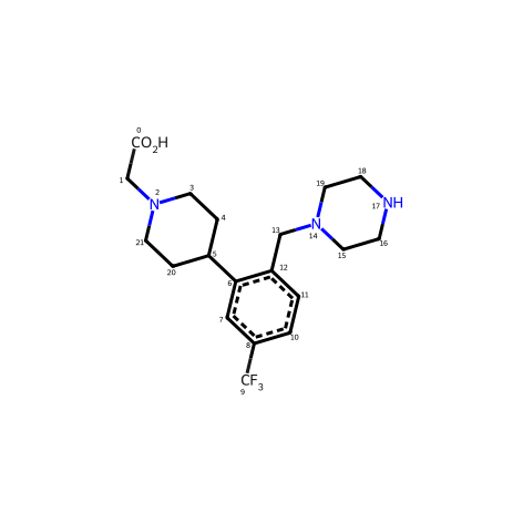 O=C(O)CN1CCC(c2cc(C(F)(F)F)ccc2CN2CCNCC2)CC1